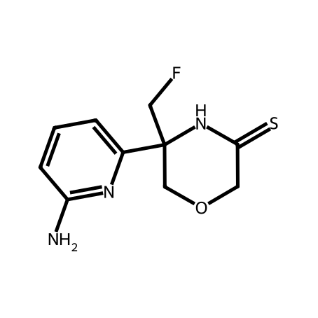 Nc1cccc(C2(CF)COCC(=S)N2)n1